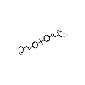 CC(C)(c1ccc(OCC(O)CO)cc1)c1ccc(OCC(CF)P=O)cc1